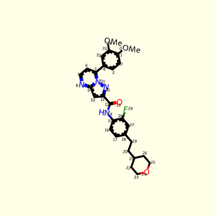 COc1ccc(-c2ccnc3cc(C(=O)Nc4ccc(CCC5CCOCC5)cc4F)nn23)cc1OC